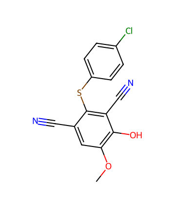 COc1cc(C#N)c(Sc2ccc(Cl)cc2)c(C#N)c1O